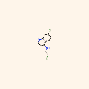 ClCCNc1ccnc2cc(Cl)ccc12